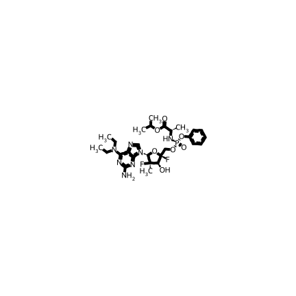 CCN(CC)c1nc(N)nc2c1ncn2[C@@H]1O[C@](F)(CO[P@](=O)(N[C@@H](C)C(=O)OC(C)C)Oc2ccccc2)[C@@H](O)[C@@]1(C)F